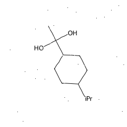 CC(C)C1CCC(C(C)(O)O)CC1